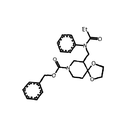 CCC(=O)N(CC1CN(C(=O)OCc2ccccc2)CCC12OCCO2)c1ccccc1